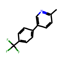 Cc1ccc(-c2ccc(C(F)(F)F)cc2)cn1